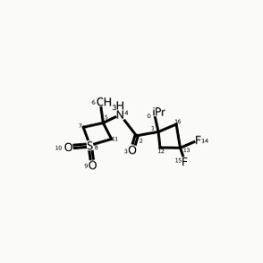 CC(C)C1(C(=O)NC2(C)CS(=O)(=O)C2)CC(F)(F)C1